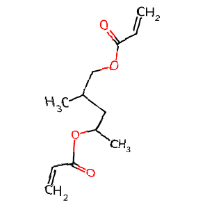 C=CC(=O)OCC(C)CC(C)OC(=O)C=C